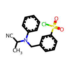 CC(C#N)N(Cc1cccc(S(=O)(=O)Cl)c1)c1ccccc1